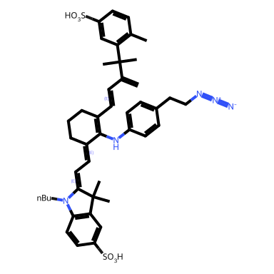 C=C(/C=C/C1=C(Nc2ccc(CCN=[N+]=[N-])cc2)C(=C/C=C2/N(CCCC)c3ccc(S(=O)(=O)O)cc3C2(C)C)/CCC1)C(C)(C)c1cc(S(=O)(=O)O)ccc1C